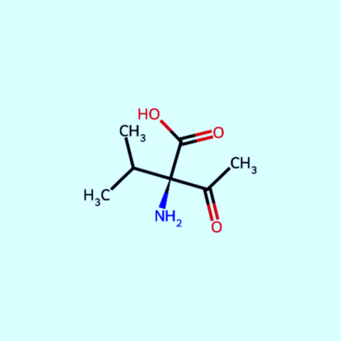 CC(=O)[C@@](N)(C(=O)O)C(C)C